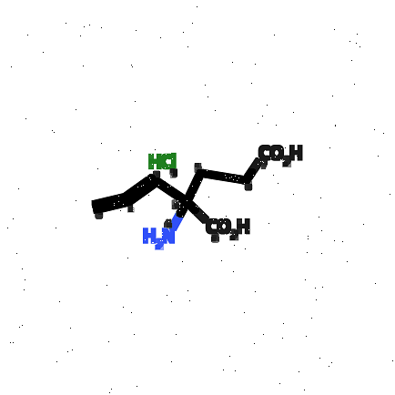 C=C=CC(N)(CCC(=O)O)C(=O)O.Cl